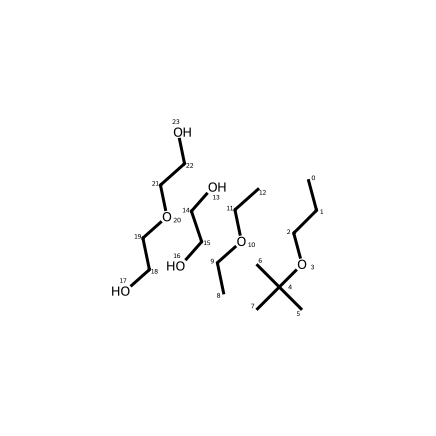 CCCOC(C)(C)C.CCOCC.OCCO.OCCOCCO